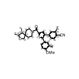 COc1ccc(-c2sc(C(=O)N3CCC4(CC3)CO[C@@H](C)[C@H]4C)cc2-c2ccc(C#N)c(F)c2)cc1F